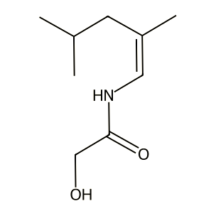 CC(=CNC(=O)CO)CC(C)C